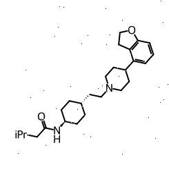 CC(C)CC(=O)N[C@H]1CC[C@H](CCN2CCC(c3cccc4c3CCO4)CC2)CC1